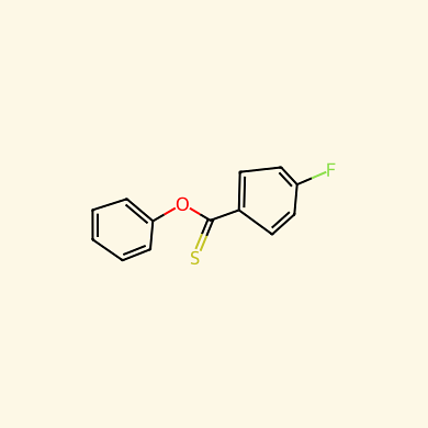 Fc1ccc(C(=S)Oc2ccccc2)cc1